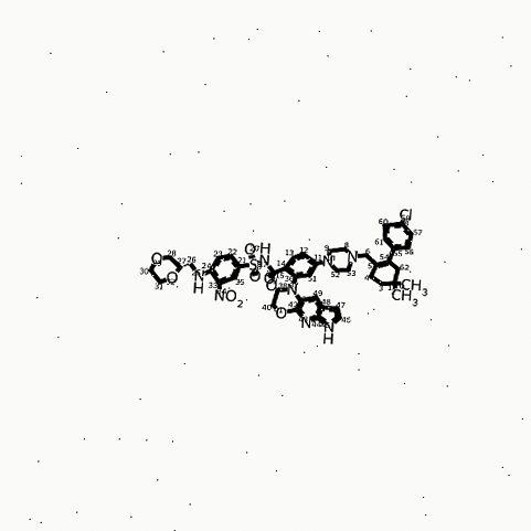 CC1(C)CCC(CN2CCN(c3ccc(C(=O)NS(=O)(=O)c4ccc(NC[C@H]5COCCO5)c([N+](=O)[O-])c4)c(N4C(=O)COc5nc6[nH]ccc6cc54)c3)CC2)=C(c2ccc(Cl)cc2)C1